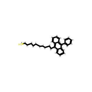 SCCCCCCCCCCc1c2ccccc2c(-c2ccccc2)c2ccccc12